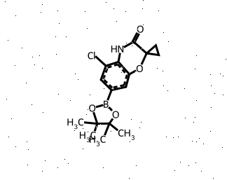 CC1(C)OB(c2cc(Cl)c3c(c2)OC2(CC2)C(=O)N3)OC1(C)C